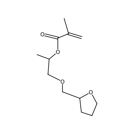 C=C(C)C(=O)OC(C)COCC1CCCO1